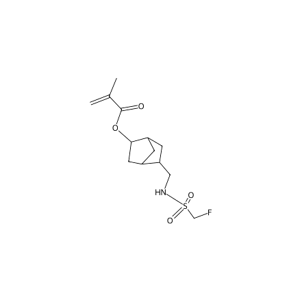 C=C(C)C(=O)OC1CC2CC1CC2CNS(=O)(=O)CF